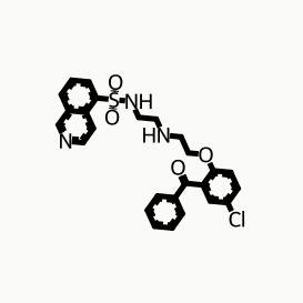 O=C(c1ccccc1)c1cc(Cl)ccc1OCCNCCNS(=O)(=O)c1cccc2cnccc12